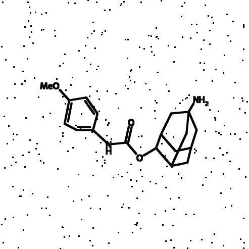 COc1ccc(NC(=O)OC2C3CC4CC2CC(N)(C4)C3)cc1